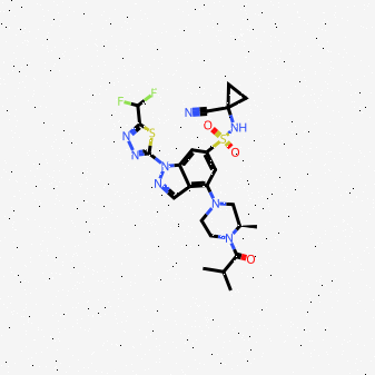 CC(C)C(=O)N1CCN(c2cc(S(=O)(=O)NC3(C#N)CC3)cc3c2cnn3-c2nnc(C(F)F)s2)C[C@H]1C